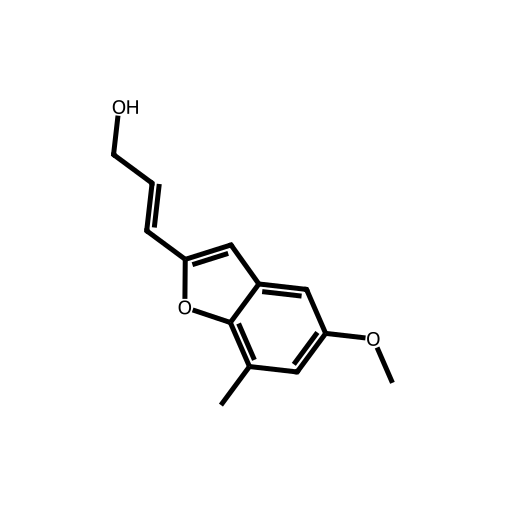 COc1cc(C)c2oc(/C=C/CO)cc2c1